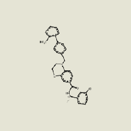 C[C@H](NC(=O)c1ccc2c(c1)OCCN2Cc1ccc(-c2ccccc2C(=O)O)cc1)c1cccc(Cl)c1